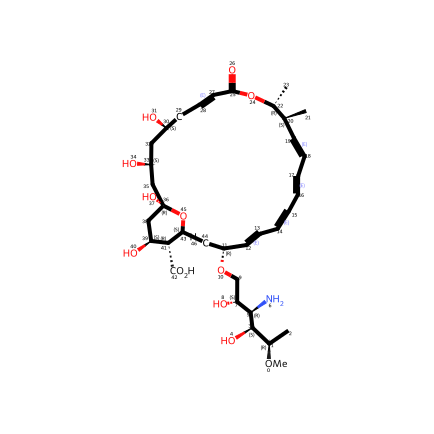 CO[C@H](C)[C@@H](O)[C@H](N)[C@H](O)CO[C@H]1/C=C/C=C/C=C/C=C/[C@H](C)[C@@H](C)OC(=O)/C=C/C[C@H](O)C[C@H](O)C[C@]2(O)C[C@H](O)[C@@H](C(=O)O)[C@H](C1)O2